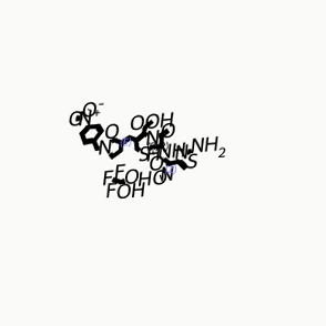 Nc1nc(/C(=N/O)C(=O)N[C@@H]2C(=O)N3C(C(=O)O)=C(/C=C4\CCN(Cc5ccc([N+](=O)[O-])cc5)C4=O)CS[C@H]23)cs1.O=C(O)C(F)(F)F